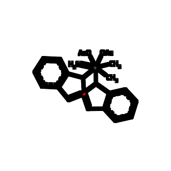 CC(=O)[O][Ti]([CH3])([CH3])(=[SiH2])([O]C(C)=O)([CH]1C=Cc2ccccc21)[CH]1C=Cc2ccccc21